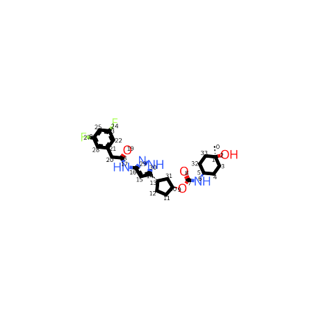 C[C@]1(O)CC[C@@H](NC(=O)O[C@@H]2CC[C@H](c3cc(NC(=O)Cc4cc(F)cc(F)c4)n[nH]3)C2)CC1